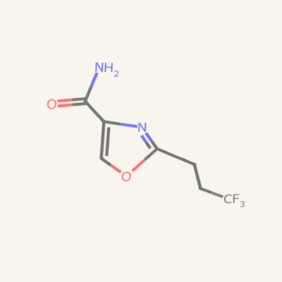 NC(=O)c1coc(CCC(F)(F)F)n1